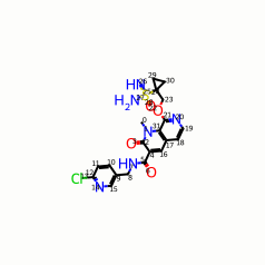 Cn1c(=O)c(C(=O)NCc2ccc(Cl)nc2)cc2ccnc(OCC3(S(=N)(N)=O)CC3)c21